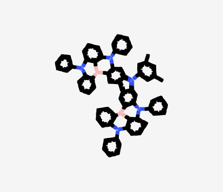 Cc1cc(C)cc(-n2c3cc4c(cc3c3cc5c(cc32)N(c2ccccc2)c2cccc3c2B5c2ccccc2N3c2ccccc2)B2c3ccccc3N(c3ccccc3)c3cccc(c32)N4c2ccccc2)c1